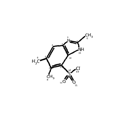 Cc1nc2cc(C)c(C)c(S(=O)(=O)Cl)c2[nH]1